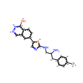 NC(CNc1ncc(-c2ccc3c(O)nncc3c2)s1)Cc1ccc(C(F)(F)F)cc1